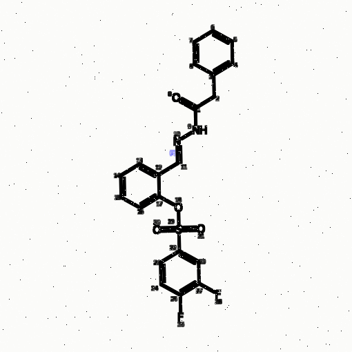 O=C(Cc1ccccc1)N/N=C/c1ccccc1OS(=O)(=O)c1ccc(F)c(F)c1